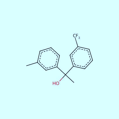 Cc1cccc(C(C)(O)c2cccc(C(F)(F)F)c2)c1